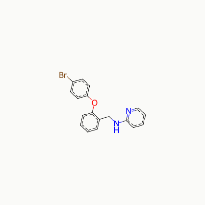 Brc1ccc(Oc2ccccc2CNc2ccccn2)cc1